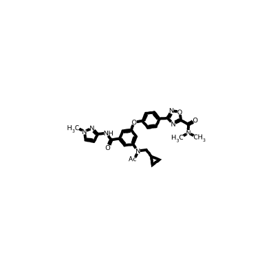 CC(=O)N(CC1CC1)c1cc(Oc2ccc(-c3noc(C(=O)N(C)C)n3)cc2)cc(C(=O)Nc2ccn(C)n2)c1